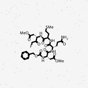 COC(=O)C[C@H](NC(=O)C(CCSC)NC(=O)[C@H](CCC(N)=O)NC(=O)[C@H](CC(=O)OC)NC(=O)OCc1ccccc1)C(=O)CF